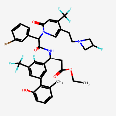 CCOC(=O)C[C@H](NC(=O)C(c1cccc(Br)c1)n1cc(CCN2CC(F)C2)c(C(F)(F)F)cc1=O)c1cc(-c2c(C)cccc2O)cc(C(F)(F)F)c1F